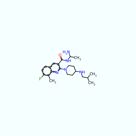 Cc1c(F)ccc2cc(C(=O)NC(C)N)c(N3CCC(NCC(C)C)CC3)nc12